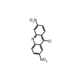 O=[N+]([O-])c1ccc2c(Cl)c3cc([N+](=O)[O-])ccc3nc2c1